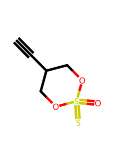 C#CC1COS(=O)(=S)OC1